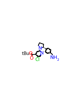 CC(C)(C)OC(=O)c1cc(N2CCC[C@H]2c2ccc(CN)cc2)ncc1Cl